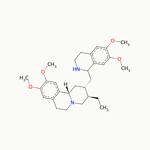 CC[C@H]1CN2CCc3cc(OC)c(OC)cc3[C@@H]2C[C@@H]1CC1NCCc2cc(OC)c(OC)cc21